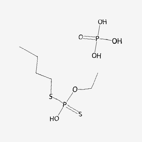 CCCCSP(O)(=S)OCC.O=P(O)(O)O